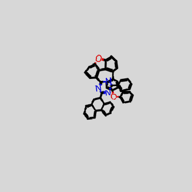 c1ccc(-c2nc(-c3cccc4oc5cccc(-c6ccc7oc8ccccc8c7c6)c5c34)nc(C3Cc4ccccc4-c4ccccc43)n2)cc1